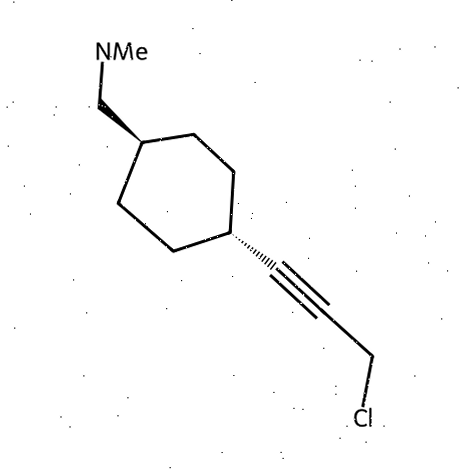 CNC[C@H]1CC[C@H](C#CCCl)CC1